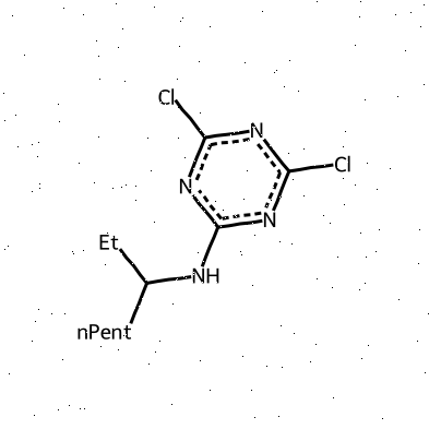 CCCCCC(CC)Nc1nc(Cl)nc(Cl)n1